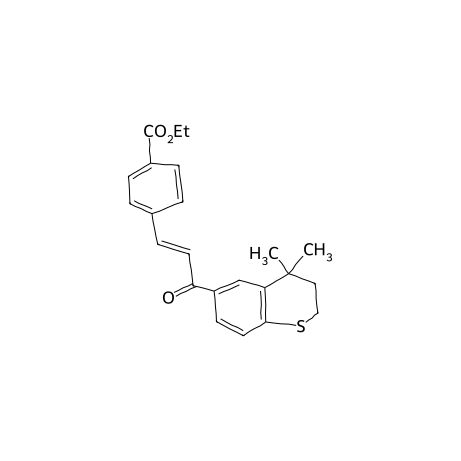 CCOC(=O)c1ccc(C=CC(=O)c2ccc3c(c2)C(C)(C)CCS3)cc1